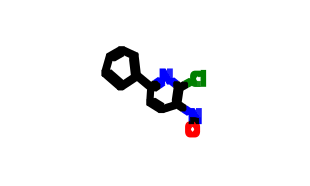 O=Nc1ccc(-c2ccccc2)nc1Cl